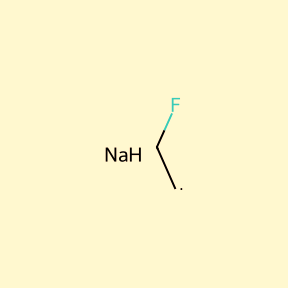 [CH2]CF.[NaH]